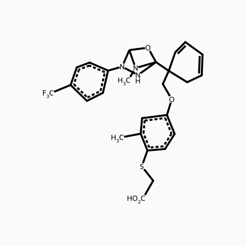 Cc1cc(OCC2(C34NN(c5ccc(C(F)(F)F)cc5)C(O3)N4C)C=CC=CC2)ccc1SCC(=O)O